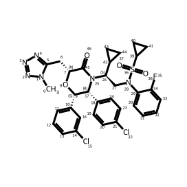 Cn1nnnc1C[C@H]1O[C@@H](c2cccc(Cl)c2)[C@@H](c2ccc(Cl)cc2)N([C@H](CN(c2ccccc2F)S(=O)(=O)C2CC2)C2CC2)C1=O